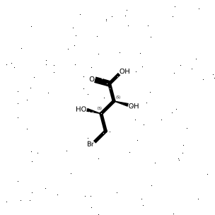 O=C(O)[C@@H](O)[C@H](O)CBr